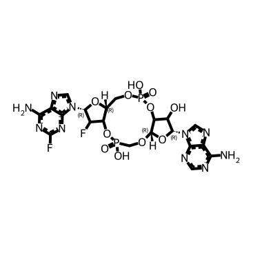 Nc1ncnc2c1ncn2[C@@H]1O[C@@H]2OCP(=O)(O)OC3C(F)[C@H](n4cnc5c(N)nc(F)nc54)O[C@@H]3COP(=O)(O)OC2C1O